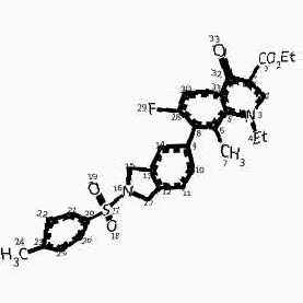 CCOC(=O)c1cn(CC)c2c(C)c(-c3ccc4c(c3)CN(S(=O)(=O)c3ccc(C)cc3)C4)c(F)cc2c1=O